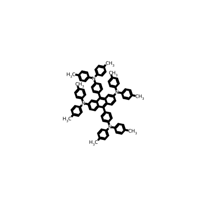 Cc1ccc(N(c2ccc(C)cc2)c2ccc(-c3c4ccc(N(c5ccc(C)cc5)c5ccc(C)cc5)cc4c(-c4ccc(N(c5ccc(C)cc5)c5ccc(C)cc5)cc4)c4cc(N(c5ccc(C)cc5)c5ccc(C)cc5)ccc34)cc2)cc1